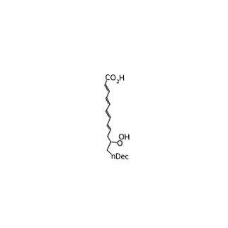 CCCCCCCCCCCC(CC=CC=CC=CC=CC(=O)O)OO